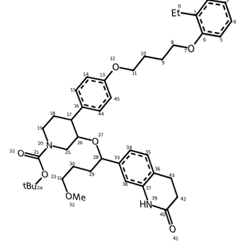 CCc1ccccc1OCCCCOc1ccc(C2CCN(C(=O)OC(C)(C)C)CC2OC(CCCOC)c2ccc3c(c2)NC(=O)CC3)cc1